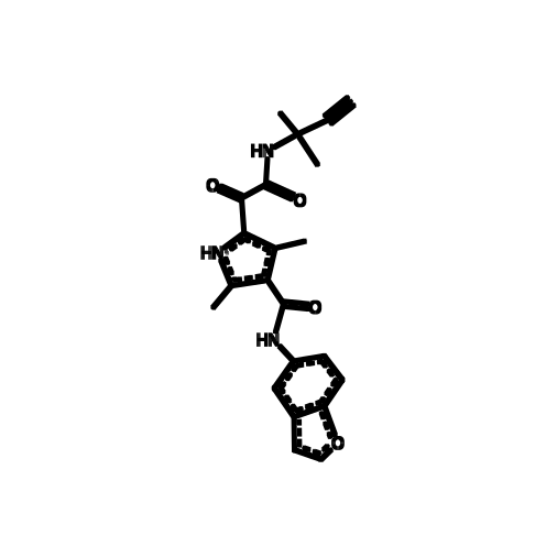 C#CC(C)(C)NC(=O)C(=O)c1[nH]c(C)c(C(=O)Nc2ccc3occc3c2)c1C